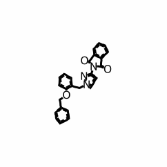 O=C1c2ccccc2C(=O)N1c1ccn(Cc2ccccc2OCc2ccccc2)n1